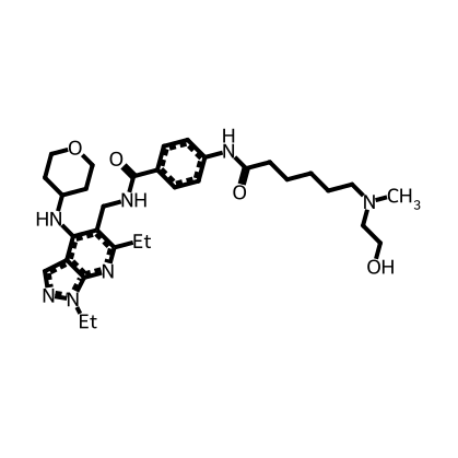 CCc1nc2c(cnn2CC)c(NC2CCOCC2)c1CNC(=O)c1ccc(NC(=O)CCCCCN(C)CCO)cc1